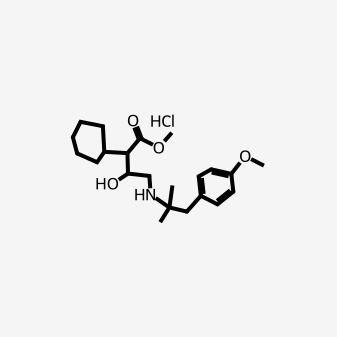 COC(=O)C(C(O)CNC(C)(C)Cc1ccc(OC)cc1)C1CCCCC1.Cl